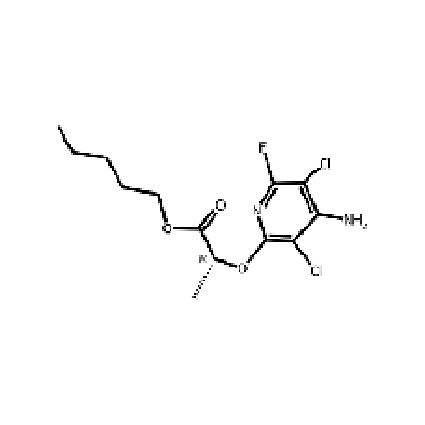 CCCCCOC(=O)[C@@H](C)Oc1nc(F)c(Cl)c(N)c1Cl